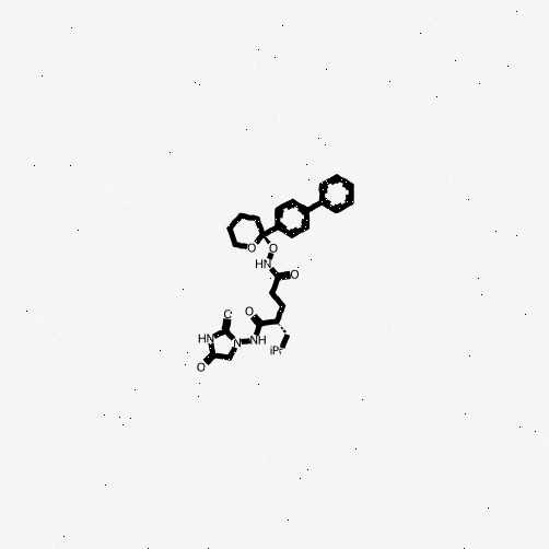 CC(C)C[C@@H](CCC(=O)NO[C@]1(c2ccc(-c3ccccc3)cc2)CCCCO1)C(=O)NN1CC(=O)NC1=O